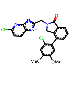 COc1cc(Cl)c(-c2cccc3c2CN(Cc2nc4nc(Cl)ccc4[nH]2)C3=O)cc1OC